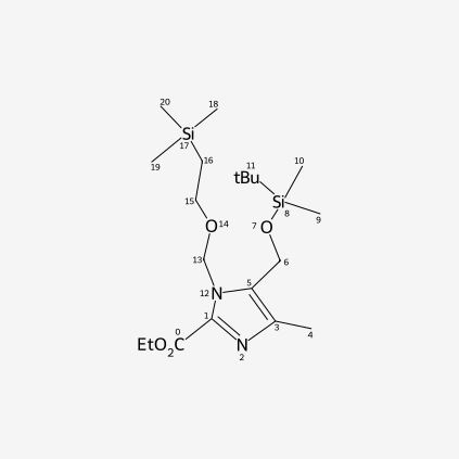 CCOC(=O)c1nc(C)c(CO[Si](C)(C)C(C)(C)C)n1COCC[Si](C)(C)C